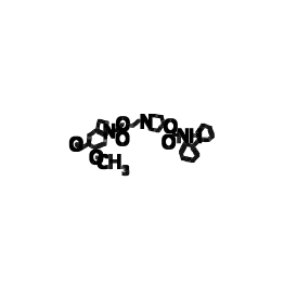 COc1cc2c(cc1C=O)CCN2C(=O)OCCN1CCC(OC(=O)Nc2ccccc2-c2ccccc2)CC1